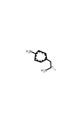 Bc1ccc(C[C@H](C)N)cc1